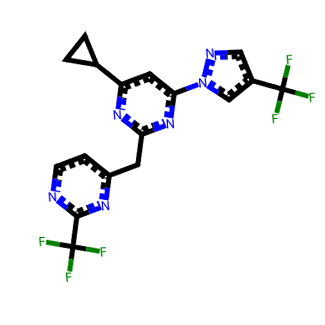 FC(F)(F)c1cnn(-c2cc(C3CC3)nc(Cc3ccnc(C(F)(F)F)n3)n2)c1